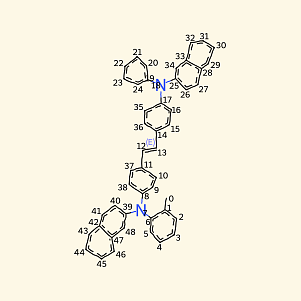 Cc1ccccc1N(c1ccc(/C=C/c2ccc(N(c3ccccc3)c3ccc4ccccc4c3)cc2)cc1)c1ccc2ccccc2c1